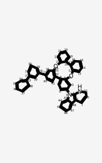 C1=Cc2c(n(-c3ccc4c(c3)Oc3ccccc3-c3ccccc3Oc3cc(-c5cccc(-c6ccccc6)c5)ccc3-4)c3ccccc23)NC1